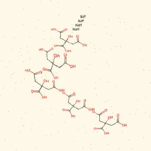 O=C(O)CC(O)(CC(=O)O)C(=O)O.O=C(O)CC(O)(CC(=O)O)C(=O)O.O=C(O)CC(O)(CC(=O)O)C(=O)O.O=C(O)CC(O)(CC(=O)O)C(=O)O.O=C(O)CC(O)(CC(=O)O)C(=O)O.[NaH].[NaH].[NaH].[NaH]